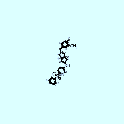 Cc1cc(CN2C[C@H]3CC(Nc4ccc(S(=O)(=O)c5ccccc5)nn4)C[C@H]3C2)ccc1F